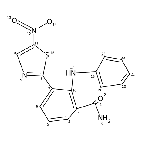 NC(=O)c1cccc(-c2ncc([N+](=O)[O-])s2)c1Nc1ccccc1